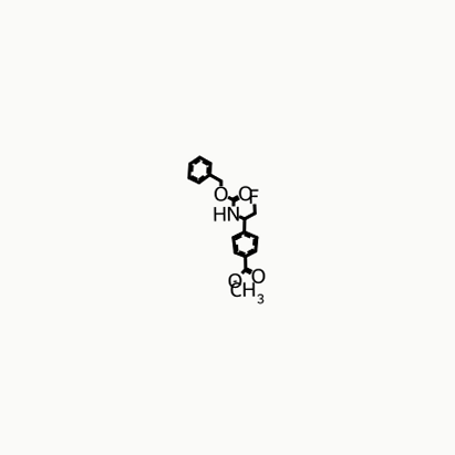 COC(=O)c1ccc(C(CF)NC(=O)OCc2ccccc2)cc1